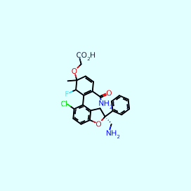 CC1(OCC(=O)O)C=CC(C(N)=O)=C(c2c(Cl)ccc3c2C[C@@](CN)(c2ccccc2)O3)C1F